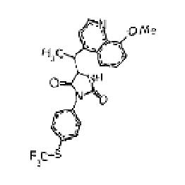 COc1cccc2c(C(C)C3NC(=O)N(c4ccc(SC(F)(F)F)cc4)C3=O)ccnc12